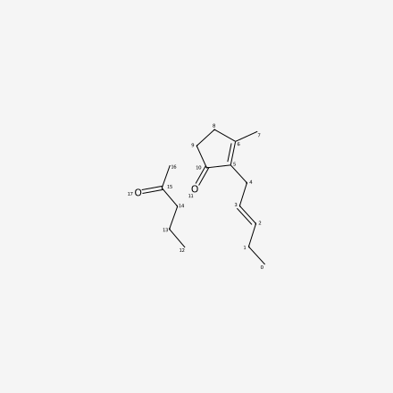 CCC=CCC1=C(C)CCC1=O.CCCC(C)=O